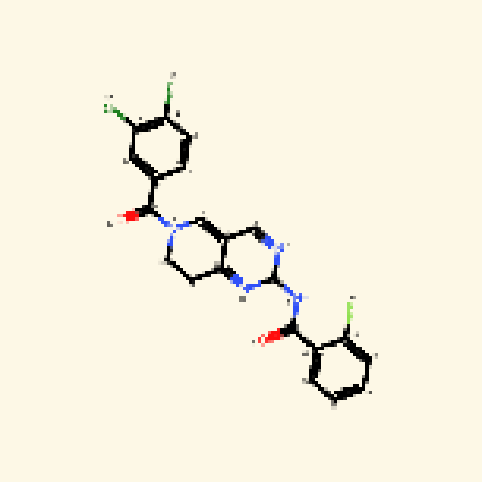 O=C(NC1N=CC2=CN(C(=O)c3ccc(Cl)c(Cl)c3)CCC2=N1)c1ccccc1F